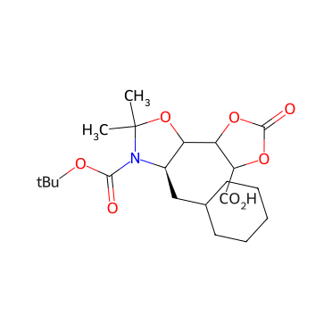 CC(C)(C)OC(=O)N1[C@H](CC2CCCCC2)C(C2OC(=O)OC2C(=O)O)OC1(C)C